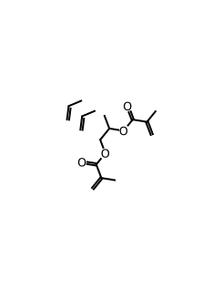 C=C(C)C(=O)OCC(C)OC(=O)C(=C)C.C=CC.C=CC